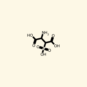 NC(C(=O)O)C(C(=O)O)S(=O)(=O)O